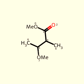 COC(=O)C(C)C(C)OC